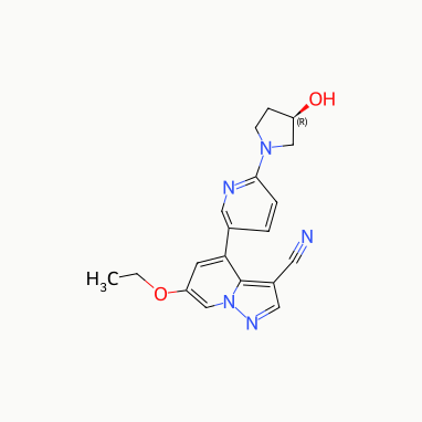 CCOc1cc(-c2ccc(N3CC[C@@H](O)C3)nc2)c2c(C#N)cnn2c1